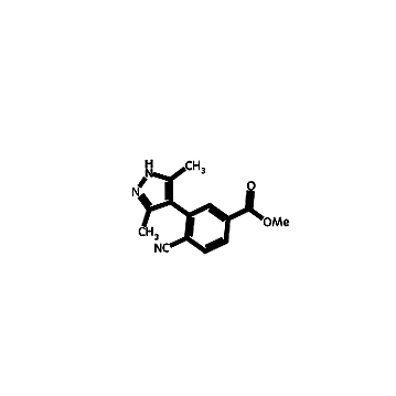 COC(=O)c1ccc(C#N)c(-c2c(C)n[nH]c2C)c1